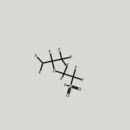 O=S(=O)(F)C(F)(F)C(F)(F)OC(F)([C](F)F)C(F)(F)F